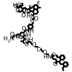 C=Cc1ccccc1C(Cc1ccccc1CC)C(=O)CCC(=O)NCCOCCOCCOCCC(=O)NC(C(=O)NC(CCCNC(N)=O)C(=O)Nc1ccc(COC(=O)NC2CCc3c(C)c(F)cc4nc5c(c2c34)Cn2c-5cc3c(c2=O)COC(=O)C3(O)CC)cc1)C(C)C